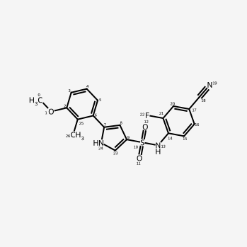 COc1cccc(-c2cc(S(=O)(=O)Nc3ccc(C#N)cc3F)c[nH]2)c1C